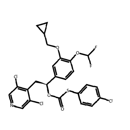 O=C(O[C@@H](Cc1c(Cl)cncc1Cl)c1ccc(OC(F)F)c(OCC2CC2)c1)Sc1ccc(Cl)cc1